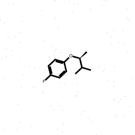 CC(C)[C@H](C)Oc1ccc(F)cc1